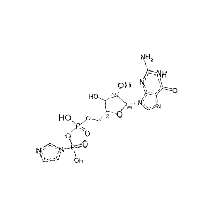 Nc1nc2c(ncn2[C@@H]2O[C@H](COP(=O)(O)OP(=O)(O)n3ccnc3)C(O)[C@@H]2O)c(=O)[nH]1